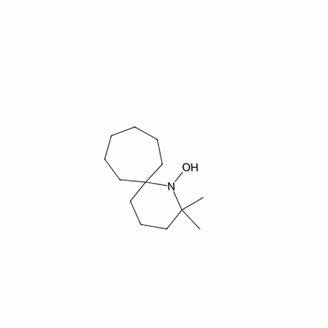 CC1(C)CCCC2(CCCCCC2)N1O